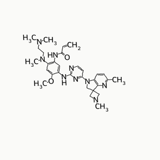 C=CC(=O)Nc1cc(Nc2nccc(N3CC4(CN(C)C4)c4nc(C)ccc43)n2)c(OC)cc1N(C)CCN(C)C